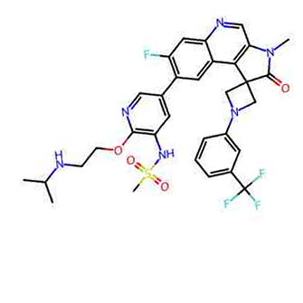 CC(C)NCCOc1ncc(-c2cc3c4c(cnc3cc2F)N(C)C(=O)C42CN(c3cccc(C(F)(F)F)c3)C2)cc1NS(C)(=O)=O